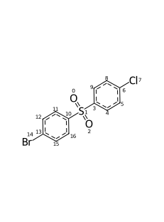 O=S(=O)(c1ccc(Cl)cc1)c1ccc(Br)cc1